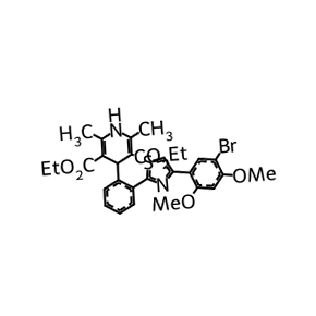 CCOC(=O)C1=C(C)NC(C)=C(C(=O)OCC)C1c1ccccc1-c1nc(-c2cc(Br)c(OC)cc2OC)cs1